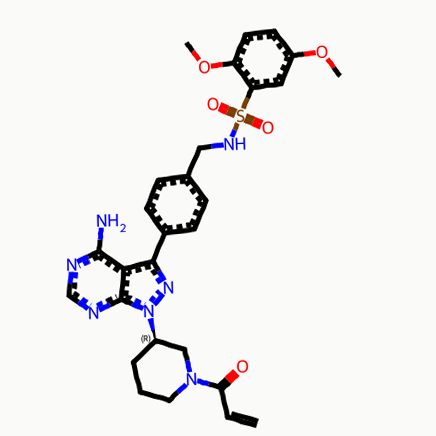 C=CC(=O)N1CCC[C@@H](n2nc(-c3ccc(CNS(=O)(=O)c4cc(OC)ccc4OC)cc3)c3c(N)ncnc32)C1